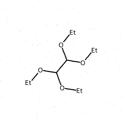 CCOC(OCC)C(OCC)OCC